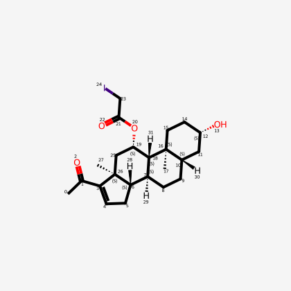 CC(=O)C1=CC[C@H]2[C@@H]3CC[C@H]4C[C@@H](O)CC[C@]4(C)[C@H]3[C@@H](OC(=O)CI)C[C@]12C